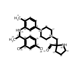 Cc1ccc(N2CCN(CC3(C=O)CCCN3)CC2)cc1NC(C)c1ccc(Cl)cc1Cl